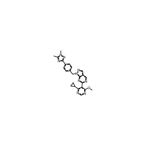 COc1ncnc(C2CC2)c1-c1ncc2cnn(Cc3ccc(-c4nc(C)n(C)n4)cc3)c2n1